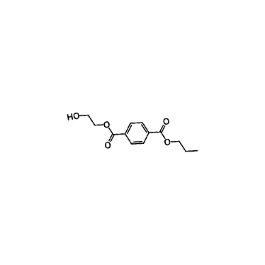 CCCOC(=O)c1ccc(C(=O)OCCO)cc1